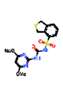 COc1cc(OC)nc(NC(=O)NS(=O)(=O)c2cccc3c2CSC3)n1